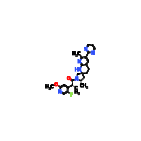 COc1cc([C@@H](C)C(=O)N2C[C@@]3(CCc4cc(-c5ncccn5)c(C)nc4N3)C[C@@H]2C)c(F)cn1